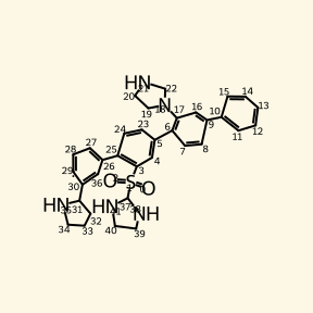 O=S(=O)(c1cc(-c2ccc(-c3ccccc3)cc2N2CCNC2)ccc1-c1cc[c]c(C2CCCN2)c1)C1NCCN1